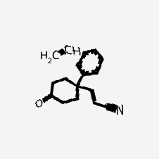 C=C.N#CC=CC1(c2ccccc2)CCC(=O)CC1